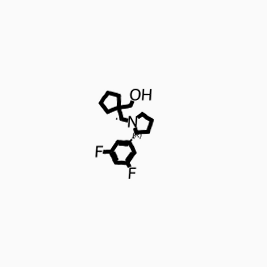 OCC1([CH]N2CCC[C@@H]2c2cc(F)cc(F)c2)CCCC1